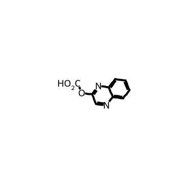 O=C(O)Oc1cnc2ccccc2n1